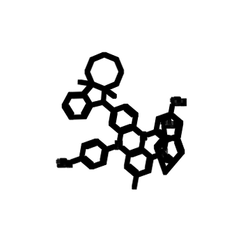 Cc1cc2c3c(c1)N(C14C=CC(C(C)(C)C)=CC1C4)c1ccc(C(C)(C)C)cc1B3c1ccc(C3c4ccccc4C4(C)CCCCCCC34C)cc1N2c1ccc(C(C)(C)C)cc1